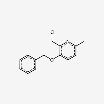 Cc1ccc(OCc2ccccc2)c(CCl)n1